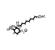 CCCCCCCCCCCCCCCCCCNC1(CCC)CCCCC1CCC.O